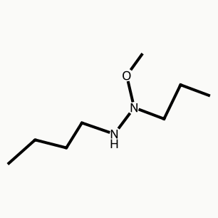 CCCCNN(CCC)OC